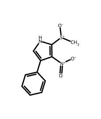 C[S+]([O-])c1[nH]cc(-c2ccccc2)c1[N+](=O)[O-]